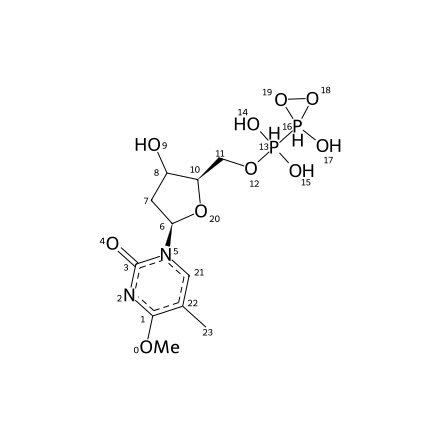 COc1nc(=O)n([C@H]2CC(O)[C@@H](CO[PH](O)(O)[PH]3(O)OO3)O2)cc1C